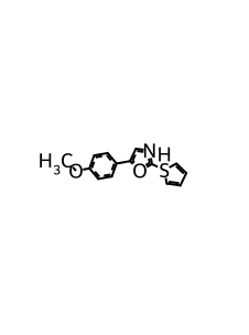 COc1ccc(-c2cnc([SH]3C=CC=C3)o2)cc1